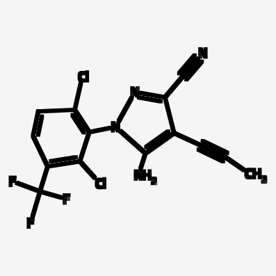 CC#Cc1c(C#N)nn(-c2c(Cl)ccc(C(F)(F)F)c2Cl)c1N